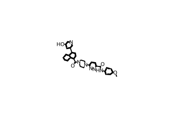 COc1ccc(NC(=O)c2ccc(N3CCN(C(=O)c4ccc(-c5cncc(O)c5)c5ccccc45)CC3)nn2)cc1